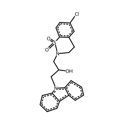 O=S1(=O)c2ccc(Cl)cc2CCN1CC(O)Cn1c2ccccc2c2ccccc21